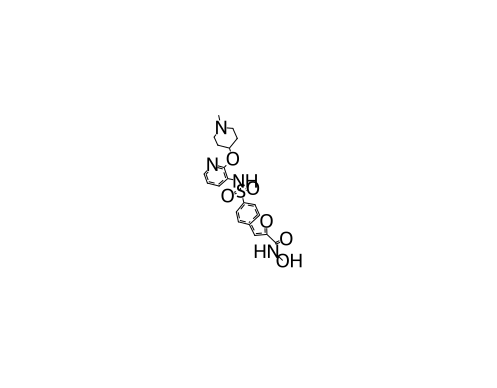 CN1CCC(Oc2ncccc2NS(=O)(=O)c2ccc3cc(C(=O)NO)oc3c2)CC1